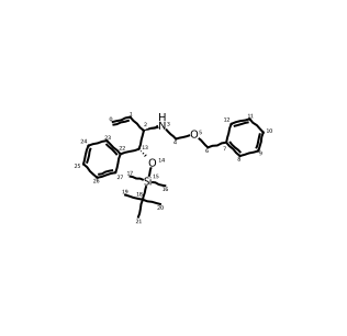 C=C[C@@H](NCOCc1ccccc1)[C@H](O[Si](C)(C)C(C)(C)C)c1ccccc1